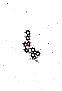 C[C@H]1C[C@@H]2C[C@H](C1)C1(c3ccccc3-c3ccc(N(c4ccc(-c5ccc6c(c5)oc5ccccc56)cc4)c4ccccc4-c4ccccc4)cc31)[C@H](C)C2